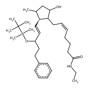 CCNC(=O)CCC/C=C\CC1C(O)CC(C)[C@@H]1/C=C/C(CCc1ccccc1)O[Si](C)(C)C(C)(C)C